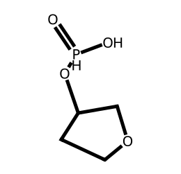 O=[PH](O)OC1CCOC1